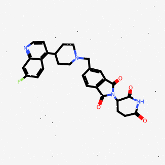 O=C1CCC(N2C(=O)c3ccc(CN4CCC(c5ccnc6cc(F)ccc56)CC4)cc3C2=O)C(=O)N1